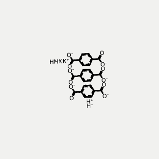 O=C([O-])c1ccc(C(=O)[O-])cc1.O=C([O-])c1ccc(C(=O)[O-])cc1.O=C([O-])c1ccc(C(=O)[O-])cc1.[H+].[H+].[H+].[H+].[K+].[K+]